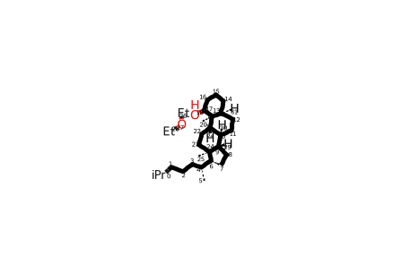 CC(C)CCC[C@@H](C)[C@H]1CC[C@H]2[C@@H]3CC[C@@H]4CCCC(O)[C@]4(C)[C@H]3CC[C@]12C.CCOCC